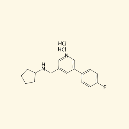 Cl.Cl.Fc1ccc(-c2cncc(CNC3CCCC3)c2)cc1